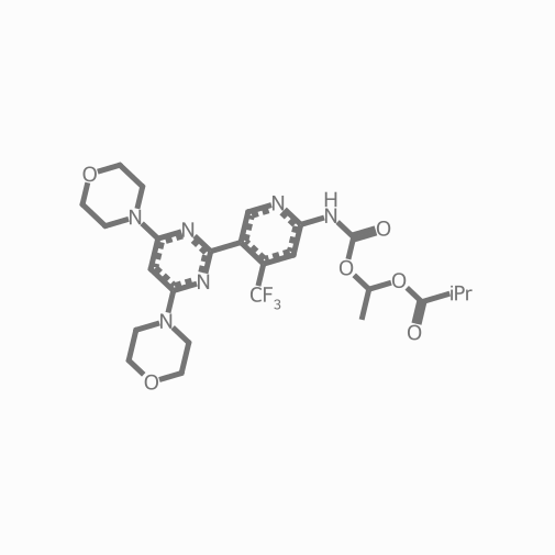 CC(OC(=O)Nc1cc(C(F)(F)F)c(-c2nc(N3CCOCC3)cc(N3CCOCC3)n2)cn1)OC(=O)C(C)C